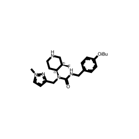 CC(C)COc1ccc(CNC(=O)N(Cc2ccn(C)n2)[C@H]2CCNC[C@H]2F)cc1